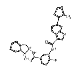 Cn1nccc1-c1ccn2c(C(=O)Nc3cc(C(=O)N[C@H]4Cc5ccccc5[C@@H]4O)ccc3F)cnc2c1